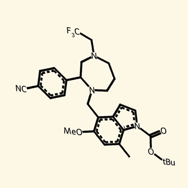 COc1cc(C)c2c(ccn2C(=O)OC(C)(C)C)c1CN1CCCN(CC(F)(F)F)CC1c1ccc(C#N)cc1